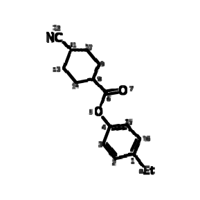 CCc1ccc(OC(=O)C2CCC(C#N)CC2)cc1